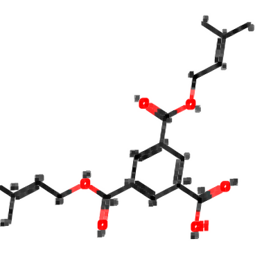 CC(C)=CCOC(=O)c1cc(C(=O)O)cc(C(=O)OCC=C(C)C)c1